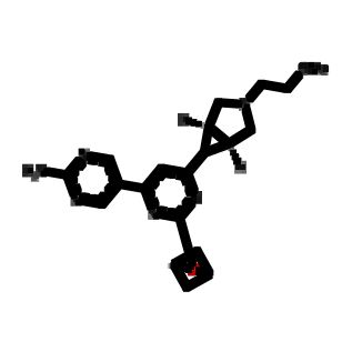 COCCN1C[C@@H]2C(c3cc(-c4cnc(N)nc4)nc(N4CC5CC4C5)n3)[C@@H]2C1